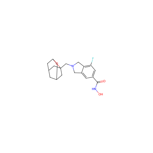 O=C(NO)c1cc(F)c2c(c1)CN(CC13CC4CC(CC(C4)O1)C3)C2